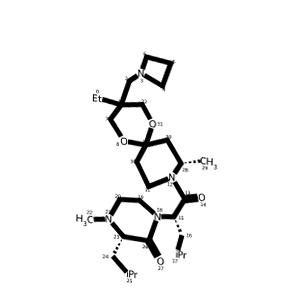 CCC1(CN2CCC2)COC2(CCN(C(=O)[C@H](CC(C)C)N3CCN(C)[C@@H](CC(C)C)C3=O)[C@@H](C)C2)OC1